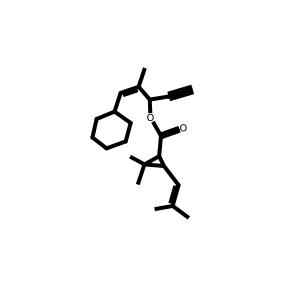 C#CC(OC(=O)C1C(C=C(C)C)C1(C)C)C(C)=CC1CCCCC1